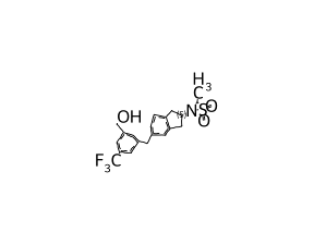 CC1N([C@H]2Cc3ccc(Cc4cc(CO)cc(C(F)(F)F)c4)cc3C2)S1(=O)=O